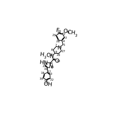 COc1cc(CN2CCC(N(C)C(=O)c3nc(-c4ccc(O)cc4)c[nH]3)CC2)ccc1F